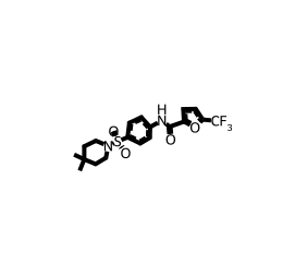 CC1(C)CCN(S(=O)(=O)c2ccc(NC(=O)c3ccc(C(F)(F)F)o3)cc2)CC1